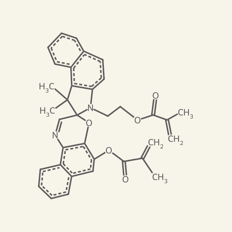 C=C(C)C(=O)OCCN1c2ccc3ccccc3c2C(C)(C)C12C=Nc1c(c(OC(=O)C(=C)C)cc3ccccc13)O2